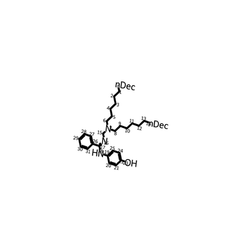 CCCCCCCCCCCCCCCCN(CCCCCCCCCCCCCCCC)CN=C(Nc1ccc(O)cc1)c1ccccc1